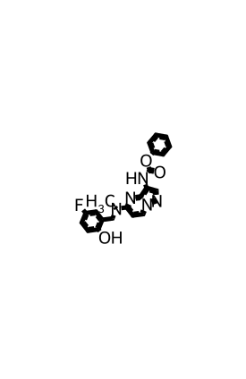 CN(Cc1cc(F)ccc1O)c1ccn2ncc(NC(=O)Oc3ccccc3)c2n1